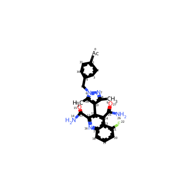 CC(=O)c1ccc(Cn2nc(C)c(-c3c(C(N)=O)nc4cccc(F)c4c3C(N)=O)c2C)cc1